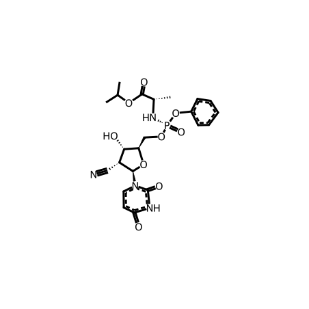 CC(C)OC(=O)[C@H](C)N[P@](=O)(OC[C@H]1O[C@@H](n2ccc(=O)[nH]c2=O)[C@H](C#N)[C@@H]1O)Oc1ccccc1